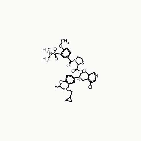 COc1ccc(C(=O)N2CCSC2C(=O)O[C@@H](Cc2c(Cl)cncc2Cl)c2ccc(OC(F)F)c(OCC3CC3)c2)cc1S(=O)(=O)N(C)C